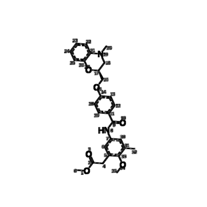 COC(=O)Cc1cc(NC(=O)c2ccc(OC[C@@H]3CN(C)c4ccccc4O3)cc2)cc(C)c1OC